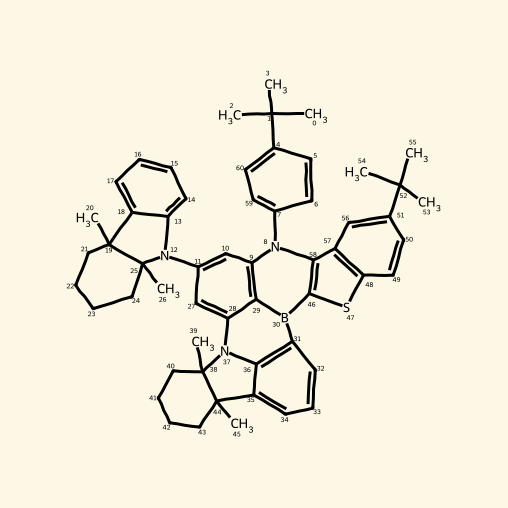 CC(C)(C)c1ccc(N2c3cc(N4c5ccccc5C5(C)CCCCC45C)cc4c3B(c3cccc5c3N4C3(C)CCCCC53C)c3sc4ccc(C(C)(C)C)cc4c32)cc1